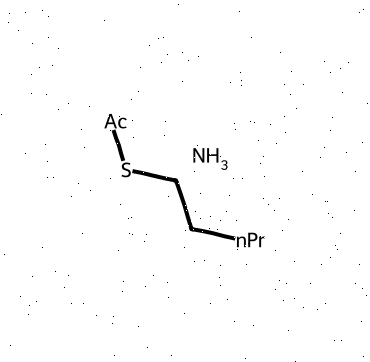 CCCCCSC(C)=O.N